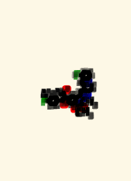 CNC(=O)c1c(-c2ccc(F)cc2)oc2cc(N(C)S(C)(=O)=O)c(-c3cc4c(nn3)CCN3c5cccc(F)c5CC43)cc12